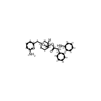 Nc1cccc(C[N+]23CCC(CC2)[C@@H](OC(=O)[C@H](Nc2ccccc2)c2ccccc2)C3)n1